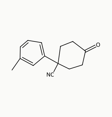 Cc1cccc(C2(C#N)CCC(=O)CC2)c1